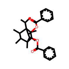 CC1C(C)C2(C(C)C)C(C)C(C)C1(C)C(OC(=O)c1ccccc1)C2OC(=O)c1ccccc1